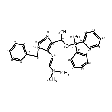 CN(C)/C=N/c1c([C@@H](C#N)O[Si](c2ccccc2)(c2ccccc2)C(C)(C)C)ncn1Cc1ccccc1